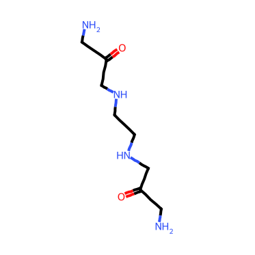 NCC(=O)CNCCNCC(=O)CN